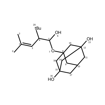 CC(C)=CC(C(O)OC12CC3CC(O)(CC(O)(C3)C1)C2)C(C)(C)C